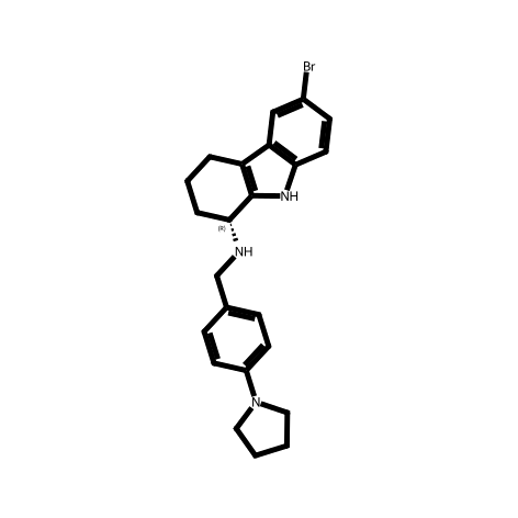 Brc1ccc2[nH]c3c(c2c1)CCC[C@H]3NCc1ccc(N2CCCC2)cc1